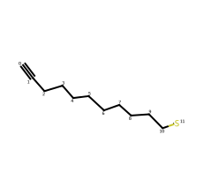 C#CCCCCCCCCC[S]